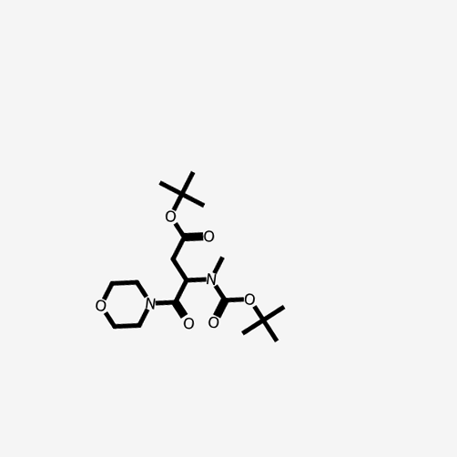 CN(C(=O)OC(C)(C)C)C(CC(=O)OC(C)(C)C)C(=O)N1CCOCC1